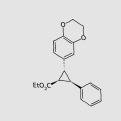 CCOC(=O)[C@@H]1[C@H](c2ccccc2)[C@H]1c1ccc2c(c1)OCCO2